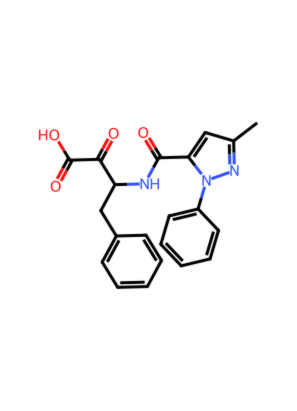 Cc1cc(C(=O)NC(Cc2ccccc2)C(=O)C(=O)O)n(-c2ccccc2)n1